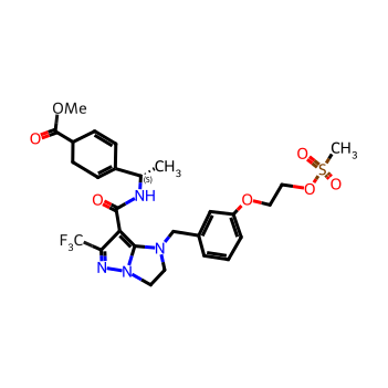 COC(=O)C1C=CC([C@H](C)NC(=O)c2c(C(F)(F)F)nn3c2N(Cc2cccc(OCCOS(C)(=O)=O)c2)CC3)=CC1